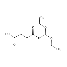 CCOC(OCC)OC(=O)CCC(=O)O